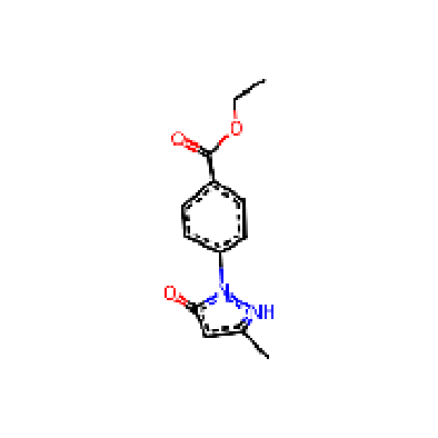 CCOC(=O)c1ccc(-n2[nH]c(C)cc2=O)cc1